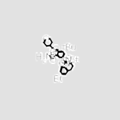 CCc1ccc2c(c1)CCC(CC)N2S(=O)(=O)c1cc(C(C)(C)C)c(OCC2CCOCC2)c(S(N)(=O)=O)c1